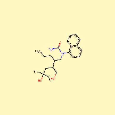 CCCC(CN(C(N)=O)c1cccc2ccccc12)C(CO)CC(C)(C)O